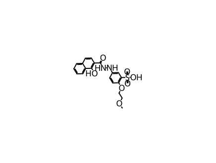 COCCOc1ccc(NNC(=O)c2ccc3ccccc3c2O)cc1S(=O)(=O)O